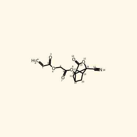 C=CC(=O)OCC(=O)OC1C2CC3C(=O)OC1(C#N)C3C2